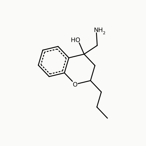 CCCC1CC(O)(CN)c2ccccc2O1